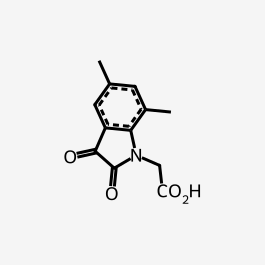 Cc1cc(C)c2c(c1)C(=O)C(=O)N2CC(=O)O